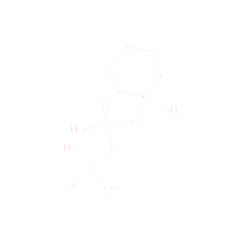 O=P(O)(O)CP(=O)(O)OC1(O)CCCCC1